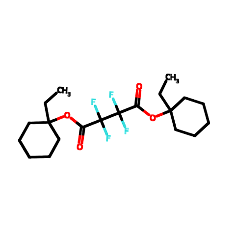 CCC1(OC(=O)C(F)(F)C(F)(F)C(=O)OC2(CC)CCCCC2)CCCCC1